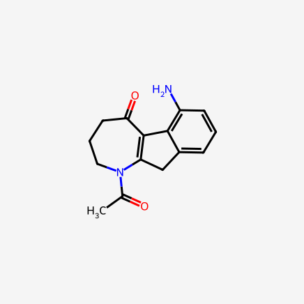 CC(=O)N1CCCC(=O)C2=C1Cc1cccc(N)c12